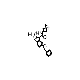 Cc1sc2ccc(OCc3ccccc3)cc2c1C(=O)NC1CC(F)(F)C1